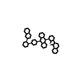 c1ccc(-c2ccc3ccccc3c2)c(-c2ccc(-c3c4ccccc4c(-c4cccc5c4sc4c6ccccc6ccc54)c4ccccc34)cc2)c1